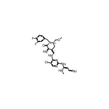 CN/C(=C\C=N)Nc1ncc(Cl)c(N/C=C2/C[C@H](COC)N(Cc3ccc(F)c(F)c3)C(=O)C2=N)n1